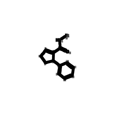 CCNC(=O)C1=CCCC1c1ccccc1